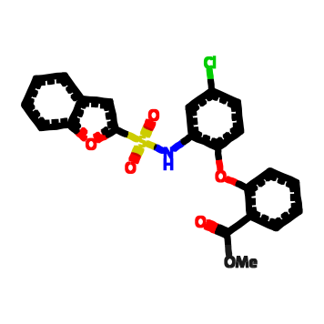 COC(=O)c1ccccc1Oc1ccc(Cl)cc1NS(=O)(=O)c1cc2ccccc2o1